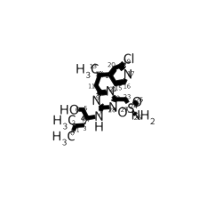 CC(C)C[C@H](CO)Nc1nc(C[C@H](C)c2ccnc(Cl)c2)nc(CS(N)(=O)=O)n1